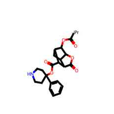 CC(C)C(=O)OC1C2CC3C1OC(=O)C3C2C(=O)OC1(c2ccccc2)CCNCC1